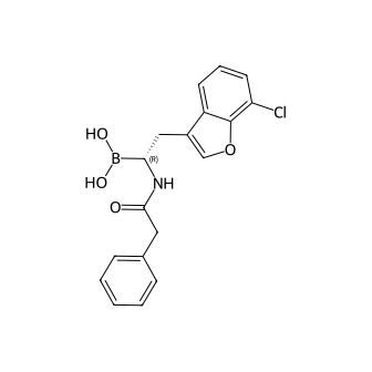 O=C(Cc1ccccc1)N[C@@H](Cc1coc2c(Cl)cccc12)B(O)O